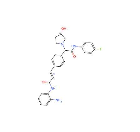 Nc1ccccc1NC(=O)/C=C/c1ccc(C(C(=O)Nc2ccc(F)cc2)N2CC[C@H](O)C2)cc1